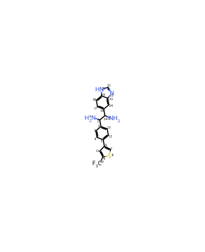 NC(c1ccc(-c2csc(C(F)(F)F)c2)cc1)C(N)c1ccc2[nH]cnc2c1